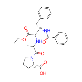 CCOC(=O)C(NC(C)C(=O)N1CCC[C@H]1C(=O)O)[C@H](Cc1ccccc1)NC(=O)c1ccccc1